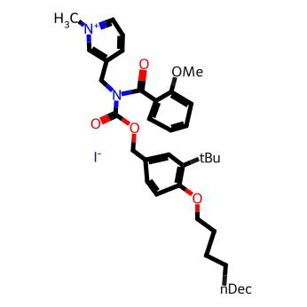 CCCCCCCCCCCCCCOc1ccc(COC(=O)N(Cc2ccc[n+](C)c2)C(=O)c2ccccc2OC)cc1C(C)(C)C.[I-]